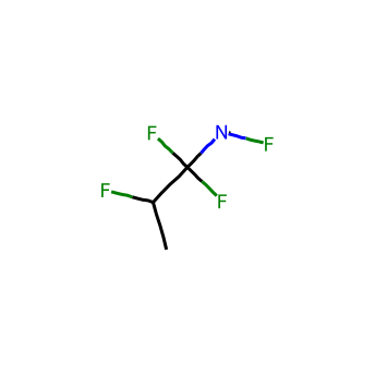 CC(F)C(F)(F)[N]F